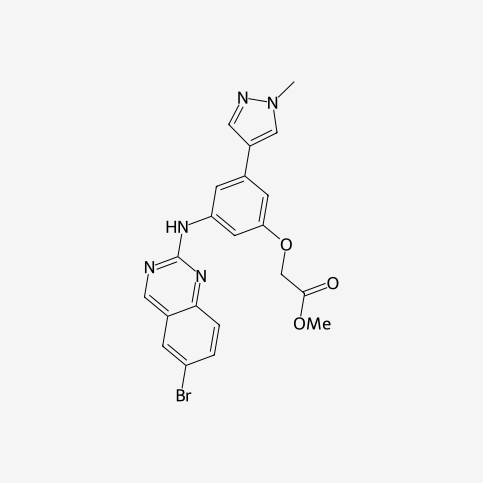 COC(=O)COc1cc(Nc2ncc3cc(Br)ccc3n2)cc(-c2cnn(C)c2)c1